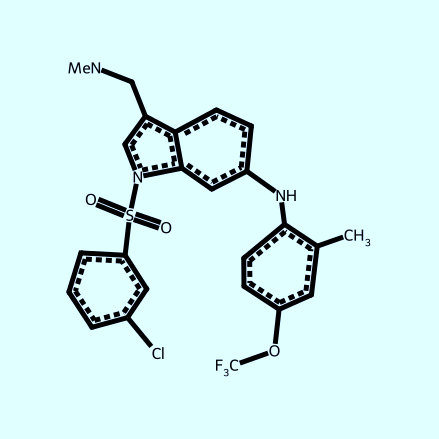 CNCc1cn(S(=O)(=O)c2cccc(Cl)c2)c2cc(Nc3ccc(OC(F)(F)F)cc3C)ccc12